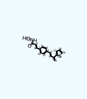 C=C(/C=C/c1ccc(/C=C/C(=O)NO)cc1)c1cccs1